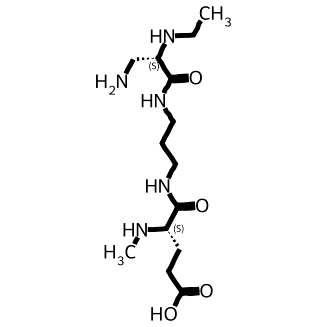 CCN[C@@H](CN)C(=O)NCCCNC(=O)[C@H](CCC(=O)O)NC